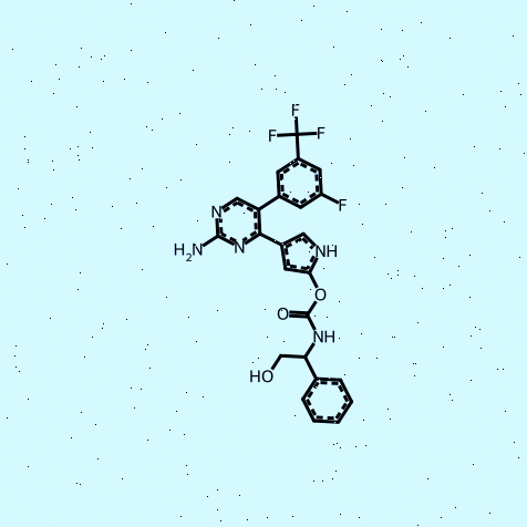 Nc1ncc(-c2cc(F)cc(C(F)(F)F)c2)c(-c2c[nH]c(OC(=O)NC(CO)c3ccccc3)c2)n1